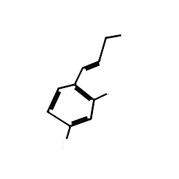 Fc1ccc(/C=C/CCl)c(F)c1